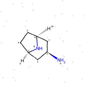 N[C@H]1C[C@H]2CC[C@@H](C1)N2